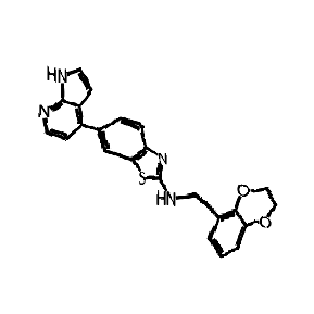 c1cc(CNc2nc3ccc(-c4ccnc5[nH]ccc45)cc3s2)c2c(c1)OCCO2